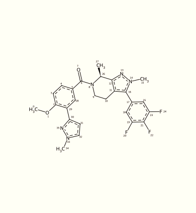 COc1ccc(C(=O)N2CCc3c(nn(C)c3-c3cc(F)c(F)c(F)c3)[C@@H]2C)cc1-c1ccn(C)n1